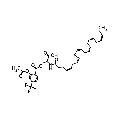 CC/C=C\C/C=C\C/C=C\C/C=C\C/C=C\C/C=C\CCC(=O)NC(COC(=O)c1ccc(C(F)(F)F)cc1OC(C)=O)C(=O)O